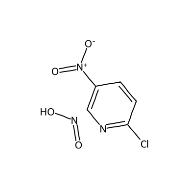 O=NO.O=[N+]([O-])c1ccc(Cl)nc1